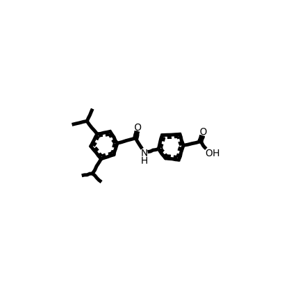 CC(C)c1cc(C(=O)Nc2ccc(C(=O)O)cc2)cc(C(C)C)c1